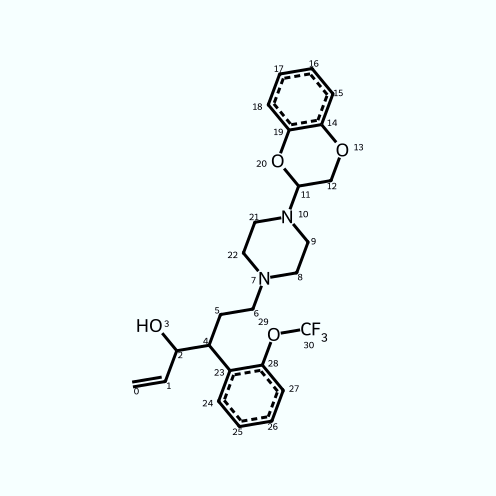 C=CC(O)C(CCN1CCN(C2COc3ccccc3O2)CC1)c1ccccc1OC(F)(F)F